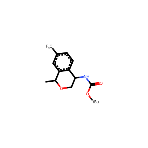 CC1OCC(NC(=O)OC(C)(C)C)c2ccc(C(F)(F)F)cc21